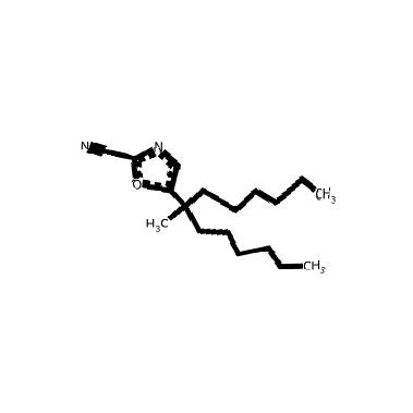 CCCCCCC(C)(CCCCCC)c1cnc(C#N)o1